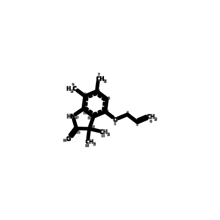 C=CCOc1cc(C)c(C)c2c1C(C)(C)C(=O)N2